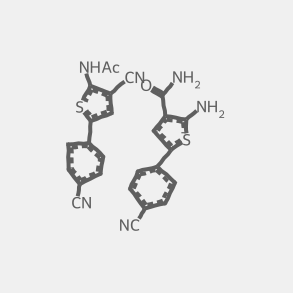 CC(=O)Nc1sc(-c2ccc(C#N)cc2)cc1C#N.N#Cc1ccc(-c2cc(C(N)=O)c(N)s2)cc1